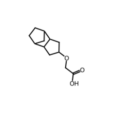 O=C(O)COC1CC2C3CCC(C3)C2C1